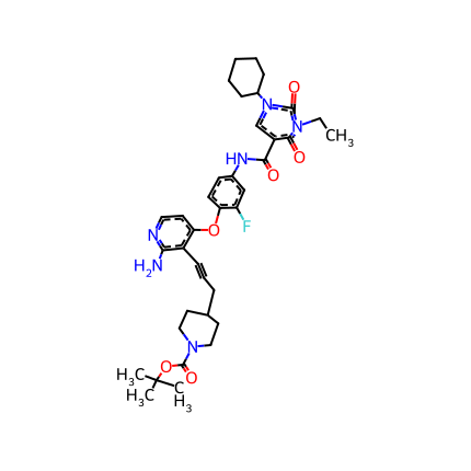 CCn1c(=O)c(C(=O)Nc2ccc(Oc3ccnc(N)c3C#CCC3CCN(C(=O)OC(C)(C)C)CC3)c(F)c2)cn(C2CCCCC2)c1=O